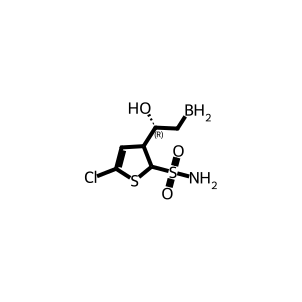 BC[C@@H](O)C1C=C(Cl)SC1S(N)(=O)=O